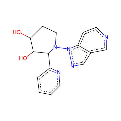 OC1CCN(n2ncc3cnccc32)C(c2ccccn2)C1O